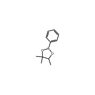 CC1OB(c2ccccc2)OC1(C)C